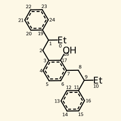 CCC(Cc1cccc(CC(CC)c2ccccc2)c1O)c1ccccc1